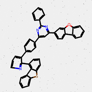 c1ccc(-c2nc(-c3ccc(-c4cccnc4-c4cccc5sc6ccccc6c45)cc3)cc(-c3ccc4c(c3)oc3ccccc34)n2)cc1